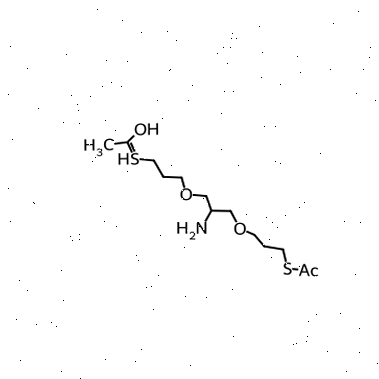 CC(=O)SCCCOCC(N)COCCC[SH]=C(C)O